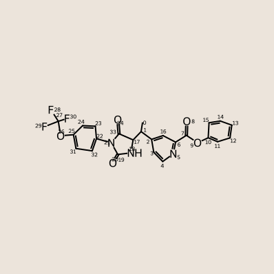 CC(c1ccnc(C(=O)Oc2ccccc2)c1)C1NC(=O)N(c2ccc(OC(F)(F)F)cc2)C1=O